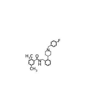 Cc1ccc(C)c(C(=O)NCc2ccccc2C2CCN(Cc3ccc(F)cc3)CC2)c1